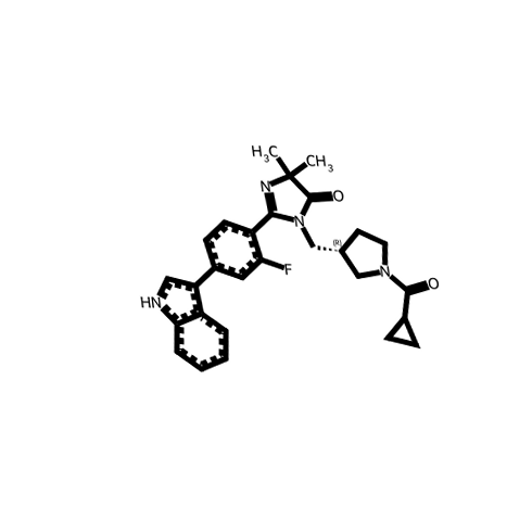 CC1(C)N=C(c2ccc(-c3c[nH]c4ccccc34)cc2F)N(C[C@@H]2CCN(C(=O)C3CC3)C2)C1=O